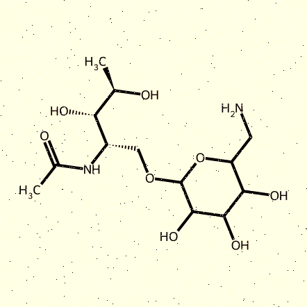 CC(=O)N[C@@H](COC1OC(CN)C(O)C(O)C1O)[C@H](O)[C@@H](C)O